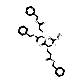 CC(C)(C)OC(=O)N[C@@H](CCC(=O)OCc1ccccc1)C(=O)N[C@@H](CCC(=O)OCc1ccccc1)C(=O)OCc1ccccc1